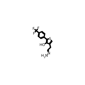 NN=CCc1csc(-c2ccc(C(F)(F)F)cc2)c1O